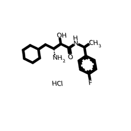 CC(NC(=O)C(O)[C@H](N)CC1CCCCC1)c1ccc(F)cc1.Cl